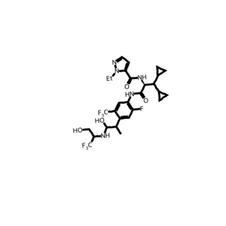 CCn1nccc1C(=O)N[C@H](C(=O)Nc1cc(C(F)(F)F)c(C(C)C(O)NC(CO)C(F)(F)F)cc1F)C(C1CC1)C1CC1